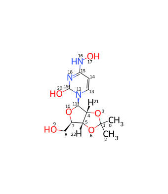 CC1(C)O[C@@H]2[C@H](O1)[C@@H](CO)O[C@H]2N1C=CC(NO)=NC1O